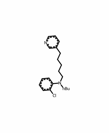 CCCCN(CCCCCc1cccnc1)c1ccccc1Cl